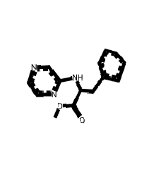 COC(=O)C(Cc1ccccc1)Nc1cnccn1